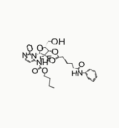 CCCCOC(=O)Nc1ccnc(=O)n1[C@@H]1O[C@H](CO)[C@@H](OC(=O)CCCCC(=O)Nc2ccccc2)C1(F)F